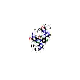 CC1CN(c2cc(F)c(-c3ccnc(N4C[C@@H](C)O[C@@H](C)C4)n3)c(F)c2NC(=O)c2c[nH]c(=O)cc2C(F)F)CCN1C